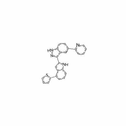 c1ccc(-c2ccc3[nH]nc(-c4cc5c(-c6cccs6)cccc5[nH]4)c3c2)nc1